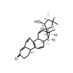 C[C@H]1[C@H](O)[C@]2(OC3CC[C@H]([C@@H]2C)[C@@]2(C)C=CC4=C(C=CC5=CC(=O)CC[C@@]54C)C32)OC1(C)C